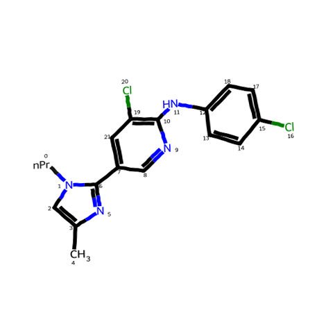 CCCn1cc(C)nc1-c1cnc(Nc2ccc(Cl)cc2)c(Cl)c1